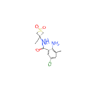 Cc1cc(Cl)cc(C(=O)NC2(C)CS(=O)(=O)C2)c1N